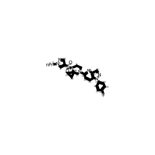 CCCn1cc(S(=O)(=O)N2CCN(c3ccc4c(cnn4-c4ccc(F)cc4)n3)CC23CC3)cn1